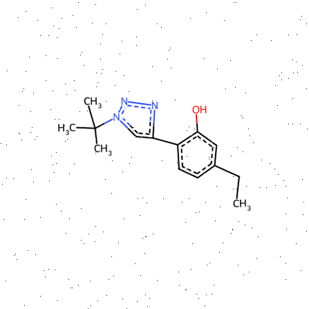 CCc1ccc(-c2cn(C(C)(C)C)nn2)c(O)c1